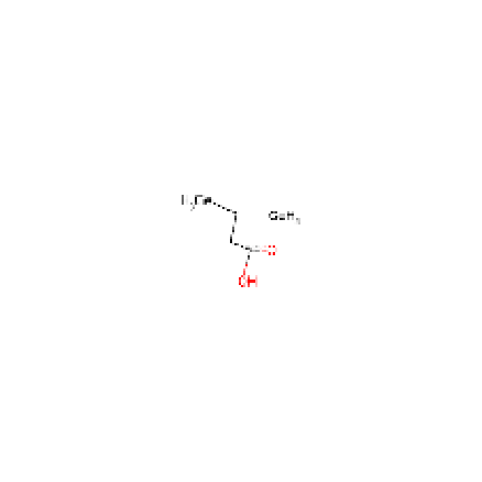 O=C(O)C[CH2][GeH3].[GeH4]